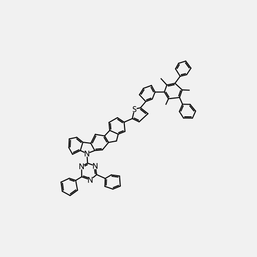 Cc1c(-c2ccccc2)c(C)c(-c2cccc(-c3ccc(-c4ccc5c(c4)Cc4cc6c(cc4-5)c4ccccc4n6-c4nc(-c5ccccc5)nc(-c5ccccc5)n4)s3)c2)c(C)c1-c1ccccc1